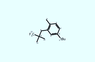 Cc1ccc(C(C)(C)C)cc1CC(C)(C)C(F)(F)F